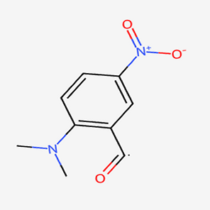 CN(C)c1ccc([N+](=O)[O-])cc1[C]=O